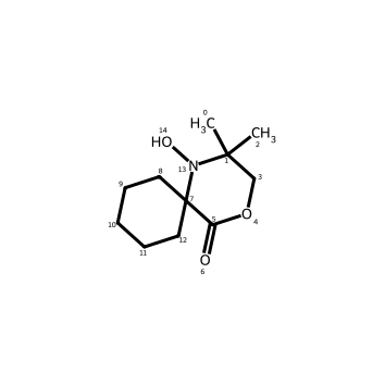 CC1(C)COC(=O)C2(CCCCC2)N1O